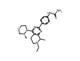 CCN1CCc2c(nc(-c3ccc(NC(N)=O)cc3)nc2N2CCOC[C@@H]2C)C1C